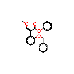 CO/C=C(\C(=O)Oc1ccccc1)c1ccccc1OCc1ccccc1